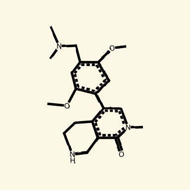 COc1cc(-c2cn(C)c(=O)c3c2CCNC3)c(OC)cc1CN(C)C